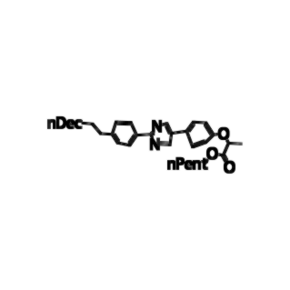 CCCCCCCCCCCCc1ccc(-c2ncc(-c3ccc(OC(C)C(=O)OCCCCC)cc3)cn2)cc1